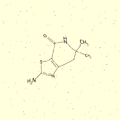 CC1(C)Cc2nc(N)sc2C(=O)N1